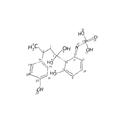 CC(CC(O)(O)C1C(O)=CC=CC1=NP(=O)(O)O)c1ccc(O)cc1